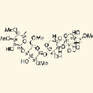 COC[C@H]1O[C@@H](O[C@@H]2OC[C@@H]3O[C@@]4(OC[C@@](O)(C(C)OC)[C@@H]5OCO[C@H]54)O[C@H]3[C@H]2O)[C@@H](OC)[C@@H](O)[C@@H]1O[C@@H]1O[C@H](C)[C@H](OC)[C@H](OC)[C@H]1O